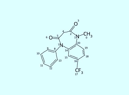 CN1C(=O)CC(=O)N(c2ccccc2)c2cc(C(F)(F)F)ccc21